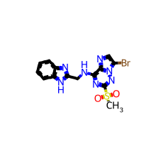 CS(=O)(=O)c1nc(NCc2nc3ccccc3[nH]2)c2ncc(Br)n2n1